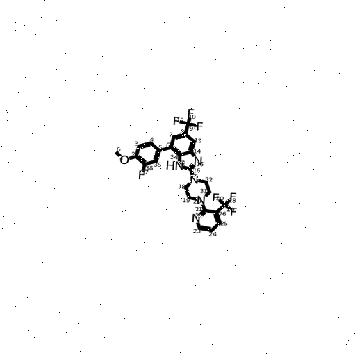 COc1ccc(-c2cc(C(F)(F)F)cc3nc(N4CCN(c5ncccc5C(F)(F)F)CC4)[nH]c23)cc1F